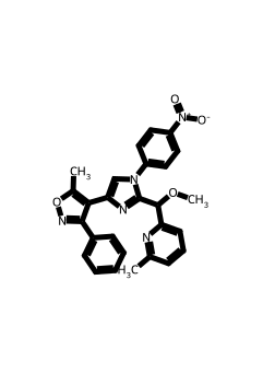 COC(c1cccc(C)n1)c1nc(-c2c(-c3ccccc3)noc2C)cn1-c1ccc([N+](=O)[O-])cc1